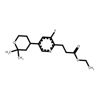 CCOC(=O)CCc1ncc(C2CCOC(C)(C)C2)cc1F